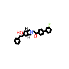 O=C(CN1C[C@@H]2CC(O)(CCc3ccccc3)C[C@@H]2C1)c1ccc(-c2cccc(F)c2)cc1